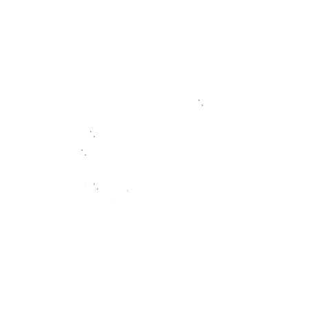 N#CCCCCc1nnc(NC(=O)Cc2ccccc2)s1